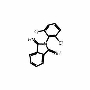 N=C1c2ccccc2C(=N)N1c1c(Cl)cccc1Cl